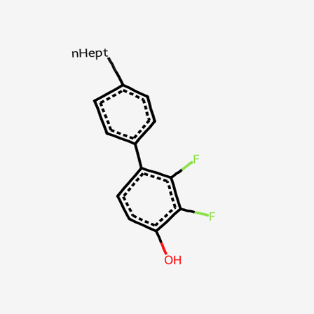 CCCCCCCc1ccc(-c2ccc(O)c(F)c2F)cc1